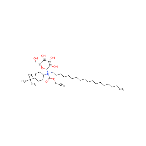 CCCCCCCCCCCCCCCCCC[N+](C(=O)OCC)(C1CCC(C(C)(C)C)CC1)C1O[C@H](CO)[C@H](O)[C@H](O)[C@H]1O